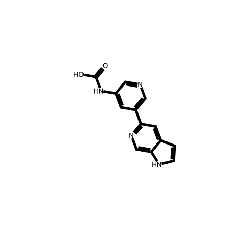 O=C(O)Nc1cncc(-c2cc3cc[nH]c3cn2)c1